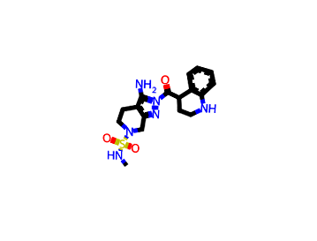 CNS(=O)(=O)N1CCc2c(nn(C(=O)C3CCNc4ccccc43)c2N)C1